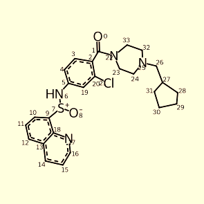 O=C(c1ccc(N[S+]([O-])c2cccc3cccnc23)cc1Cl)N1CCN(CC2CCCC2)CC1